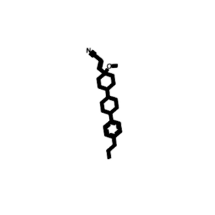 CCCc1ccc(C2CCC(C3CCC(C=CC#N)(OC)CC3)CC2)cc1